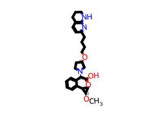 CO[C@H]1CC1c1ccccc1[C@@H](C(=O)O)N1CC[C@@H](OCCCCc2ccc3c(n2)NCCC3)C1